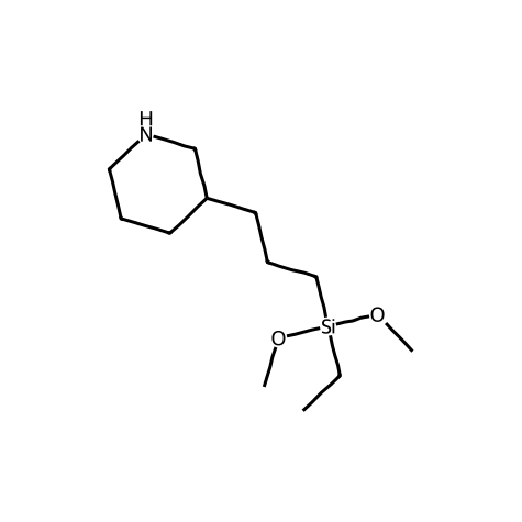 CC[Si](CCCC1CCCNC1)(OC)OC